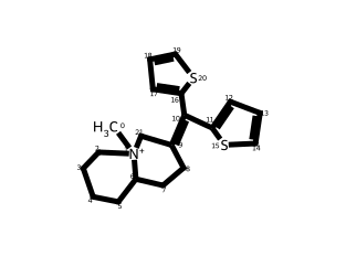 C[N+]12CCCCC1CCC(=C(c1cccs1)c1cccs1)C2